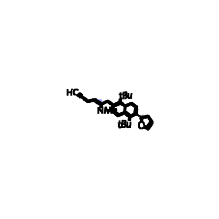 C#CC/C=C(/CC1=C(C(C)(C)C)C2CC=C([C@@H]3CC=CO3)C(C(C)(C)C)=C2C=C1)NC